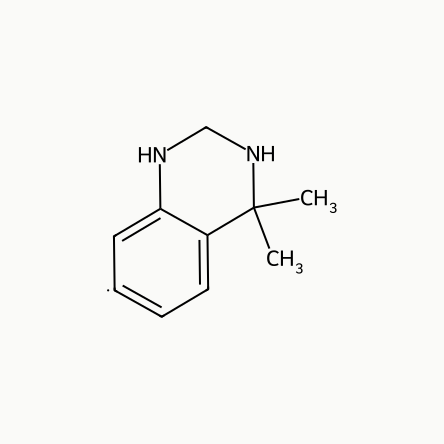 CC1(C)NCNc2c[c]ccc21